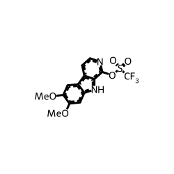 COc1cc2[nH]c3c(OS(=O)(=O)C(F)(F)F)nccc3c2cc1OC